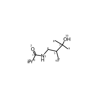 CC(C)C(=O)NCC(F)C(C)(C)O